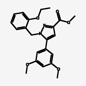 CCOc1ccccc1Cn1nc(C(=O)OC)cc1-c1cc(OC)cc(OC)c1